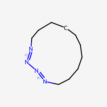 C1CCCCC/N=N/N=N/CCCC1